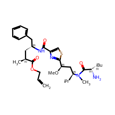 C=CCOC(=O)[C@@H](C)C[C@H](Cc1ccccc1)NC(=O)c1csc([C@@H](C[C@H](C(C)C)N(C)C(=O)[C@@H](N)[C@@H](C)CC)OC)n1